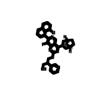 OCC(COc1nc(N2C[C@H]3CC[C@@H](C2)N3)c2cnc(-c3cccc4cccc(Cl)c34)c(F)c2n1)c1cccnc1